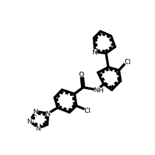 O=C(Nc1ccc(Cl)c(-c2ccccn2)c1)c1ccc(-n2cnnn2)cc1Cl